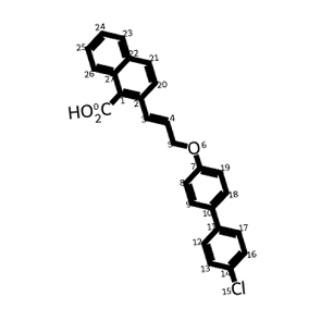 O=C(O)c1c(C=CCOc2ccc(-c3ccc(Cl)cc3)cc2)ccc2ccccc12